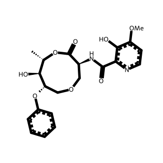 COc1ccnc(C(=O)N[C@H]2COC[C@H](Oc3ccccc3)[C@@H](O)[C@H](C)OC2=O)c1O